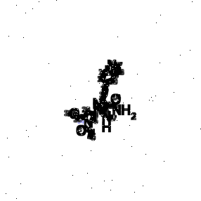 C=CC(=O)N1C[C@@H](n2nc(C#Cc3ccn4nccc4c3)c(C(N)=O)c2NC)C/C1=C\OC